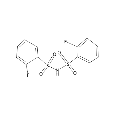 O=S(=O)(NS(=O)(=O)c1ccccc1F)c1ccccc1F